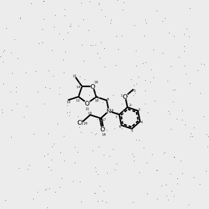 COc1ccccc1N(CC1OC(C)C(C)O1)C(=O)CCl